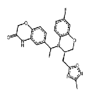 Cc1noc(C[C@@H]2COc3cc(F)ccc3N2C(C)c2ccc3c(c2)NC(=O)CO3)n1